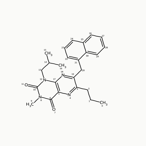 CCCc1nc2c(=O)n(C)c(=O)n(CC(C)C)c2nc1Cc1cccc2ccccc12